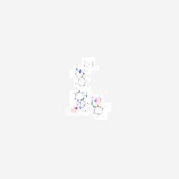 CCn1ncc2cc(-c3ccn4c(n3)c(-c3noc5ccccc35)c[n+]4[O-])ccc21